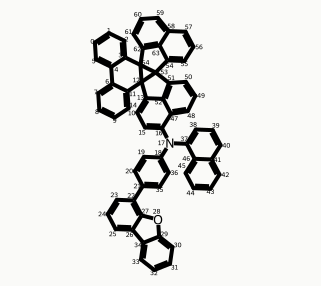 c1ccc2c(c1)-c1ccccc1C13c4ccc(N(c5ccc(-c6cccc7c6oc6ccccc67)cc5)c5cccc6ccccc56)c5cccc(c45)C14c1cccc5cccc(c15)C234